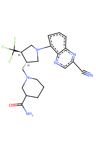 N#Cc1cnc2c(N3C[C@H](CN4CCCC(C(N)=O)C4)[C@@H](C(F)(F)F)C3)cccc2n1